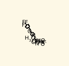 C[C@@](O)(CN1CCC(OCc2ccc(C(F)(F)F)cc2)CC1)CC1(Cl)N=CC([N+](=O)[O-])=N1